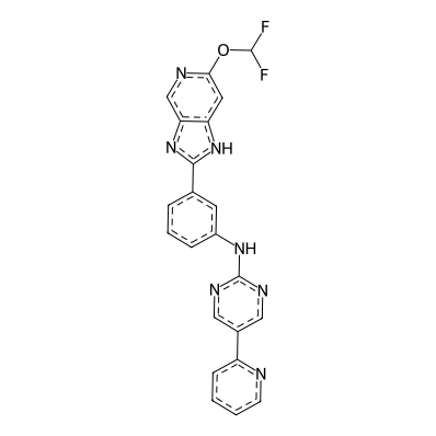 FC(F)Oc1cc2[nH]c(-c3cccc(Nc4ncc(-c5ccccn5)cn4)c3)nc2cn1